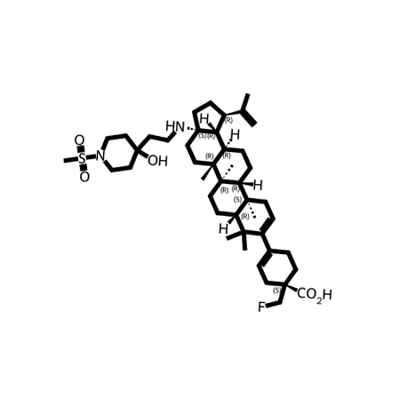 C=C(C)[C@@H]1CC[C@]2(NCCC3(O)CCN(S(C)(=O)=O)CC3)CC[C@]3(C)[C@H](CC[C@@H]4[C@@]5(C)CC=C(C6=CC[C@](CF)(C(=O)O)CC6)C(C)(C)[C@@H]5CC[C@]43C)[C@@H]12